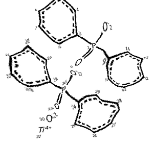 O=P([O-])(c1ccccc1)c1ccccc1.O=P([O-])(c1ccccc1)c1ccccc1.[O-2].[Ti+4]